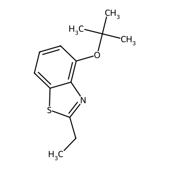 CCc1nc2c(OC(C)(C)C)cccc2s1